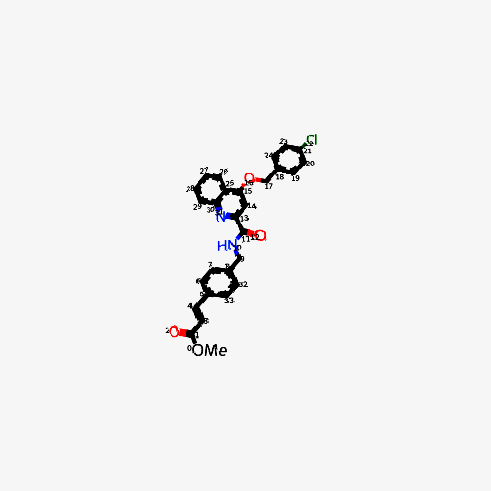 COC(=O)/C=C/c1ccc(CNC(=O)c2cc(OCc3ccc(Cl)cc3)c3ccccc3n2)cc1